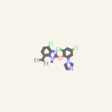 CCC(CC)c1ccc(Cl)c2nc(Oc3c(Cl)cc(Cl)cc3-n3ccnc3)n(C)c12